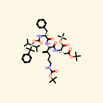 C=C(CCCNC(=O)OC(C)(C)C)[C@H](NC(=O)[C@H](Cc1ccccc1)NC(=O)O[Si](C(C)C)(C(C)C)C(C)(C)c1ccccc1)C(=O)N[C@@H](CC(=O)OC(C)(C)C)C(=O)O[Si](C)(C)C